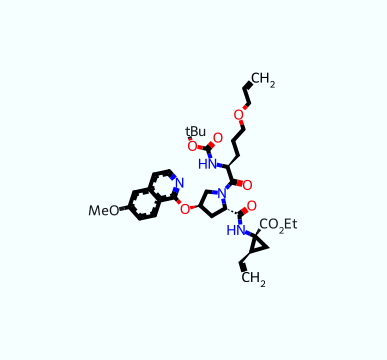 C=CCOCCC[C@H](NC(=O)OC(C)(C)C)C(=O)N1C[C@H](Oc2nccc3cc(OC)ccc23)C[C@H]1C(=O)N[C@]1(C(=O)OCC)C[C@H]1C=C